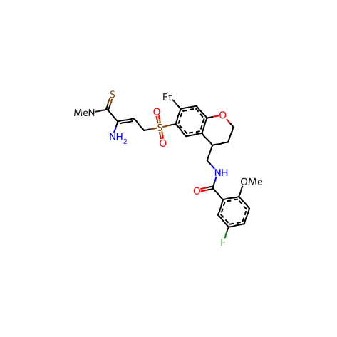 CCc1cc2c(cc1S(=O)(=O)CC=C(N)C(=S)NC)C(CNC(=O)c1cc(F)ccc1OC)CCO2